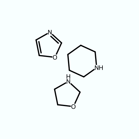 C1CCNCC1.C1COCN1.c1cocn1